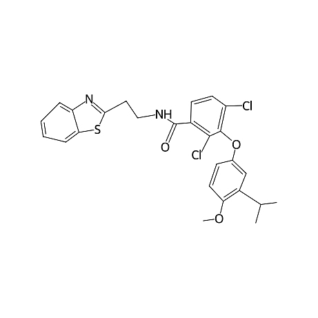 COc1ccc(Oc2c(Cl)ccc(C(=O)NCCc3nc4ccccc4s3)c2Cl)cc1C(C)C